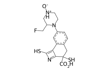 O=C(O)C1(S)Cc2ccc(N3CC[NH+]([O-])CC3CF)cc2C2=C(S)N=C21